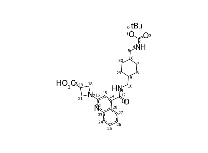 CC(C)(C)OC(=O)NCC1CCC(CNC(=O)c2cc(N3CC(C(=O)O)C3)nc3ccccc23)CC1